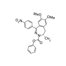 COc1cc2c(cc1OC)C(c1ccc([N+](=O)[O-])cc1)=NN(C(=O)Oc1ccccc1)[C@@H](C)C2